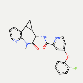 CN1C(=O)[C@@H](NC(=O)c2cc(Oc3ccccc3F)ccn2)C2CC2c2cccnc21